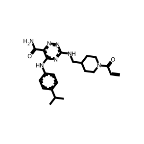 C=CC(=O)N1CCC(CNc2nnc(C(N)=O)c(Nc3ccc(C(C)C)cc3)n2)CC1